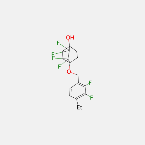 CCc1ccc(COC23CCC(O)(CC2)C(F)(F)C3(F)F)c(F)c1F